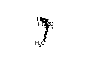 CCCCCCCCCCN1C(=O)OC2(CCNCC2)C1(C)O